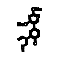 C=C/C(=C\N=C)n1cc(-c2cnc(OC)nc2OC)ccc1=O